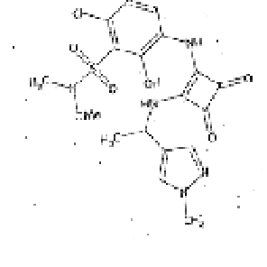 CON(C)S(=O)(=O)c1c(Cl)ccc(Nc2c(NC(C)c3cnn(C)c3)c(=O)c2=O)c1O